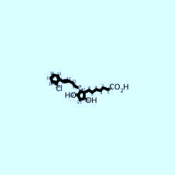 O=C(O)CCCCCCC1[C@@H](CCCC#Cc2ccccc2Cl)[C@H](O)C[C@@H]1O